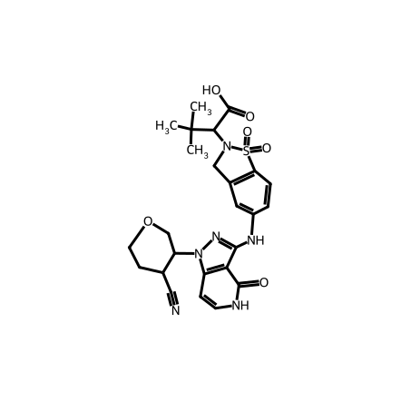 CC(C)(C)C(C(=O)O)N1Cc2cc(Nc3nn(C4COCCC4C#N)c4cc[nH]c(=O)c34)ccc2S1(=O)=O